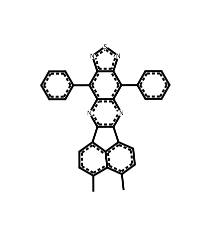 Cc1ccc2c3c(ccc(C)c13)-c1nc3c(-c4ccccc4)c4nsnc4c(-c4ccccc4)c3nc1-2